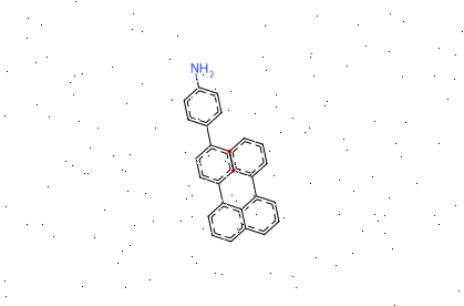 Nc1ccc(-c2ccc(-c3cccc4cccc(-c5ccccc5)c34)cc2)cc1